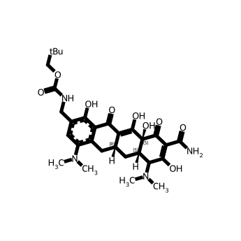 CN(C)c1cc(CNC(=O)OCC(C)(C)C)c(O)c2c1C[C@H]1C[C@H]3C(N(C)C)C(O)=C(C(N)=O)C(=O)[C@@]3(O)C(O)=C1C2=O